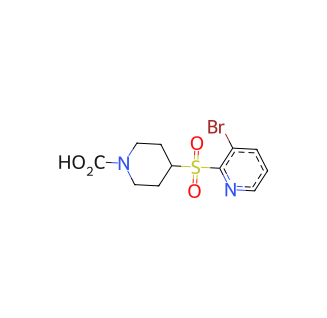 O=C(O)N1CCC(S(=O)(=O)c2ncccc2Br)CC1